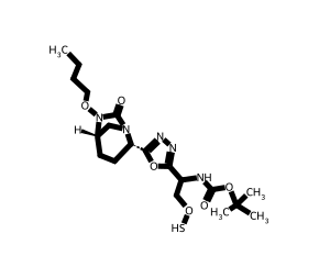 CCCCON1C(=O)N2C[C@@H]1CC[C@H]2c1nnc(C(COS)NC(=O)OC(C)(C)C)o1